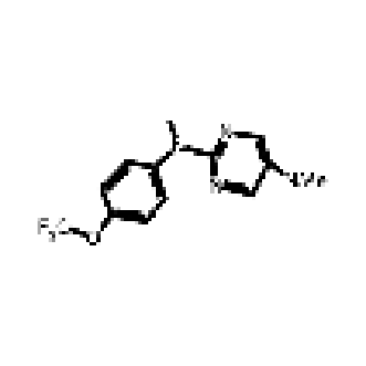 CNc1cnc(N(C)c2ccc(OC(F)(F)F)cc2)nc1